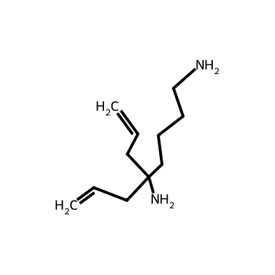 C=CCC(N)(CC=C)CCCCN